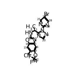 C[C@H](Nc1nc2cc(OC(F)(F)F)c(Cl)cc2o1)c1ncnn1-c1ncc(Br)cn1